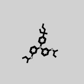 CCCC(C)(CC)c1ccc(N(c2cccc(OC(C)CC)c2)c2cccc(OC(C)CC)c2)cc1